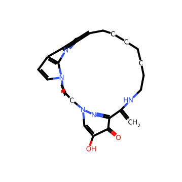 C=C1NCCCCCCCc2cnc3c(ccn3C3(CCCC3)Cn3cc(O)c(=O)c1n3)c2